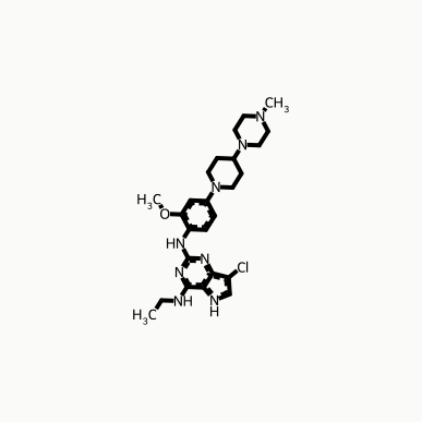 CCNc1nc(Nc2ccc(N3CCC(N4CCN(C)CC4)CC3)cc2OC)nc2c(Cl)c[nH]c12